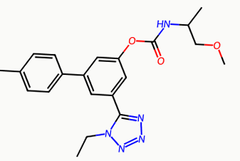 CCn1nnnc1-c1cc(OC(=O)NC(C)COC)cc(-c2ccc(C)cc2)c1